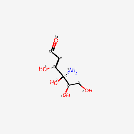 N[C@@](O)([C@H](O)CO)[C@H](O)CC=O